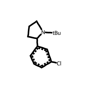 CC(C)(C)N1CCCC1c1cccc(Cl)c1